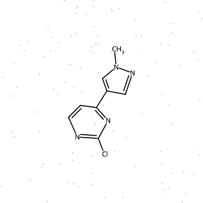 Cn1cc(-c2ccnc(Cl)n2)cn1